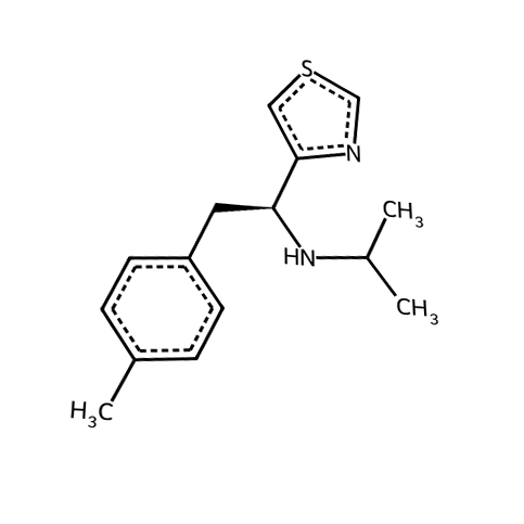 Cc1ccc(C[C@H](NC(C)C)c2cscn2)cc1